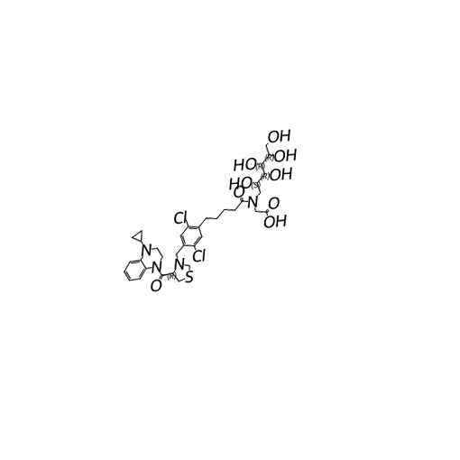 O=C(O)CN(C[C@H](O)[C@@H](O)[C@H](O)[C@H](O)CO)C(=O)CCCCc1cc(Cl)c(CN2CSC[C@H]2C(=O)N2CCN(C3CC3)c3ccccc32)cc1Cl